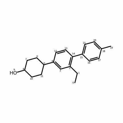 CCc1cc(C2CCC(O)CC2)ccc1-c1ccc(C)cc1